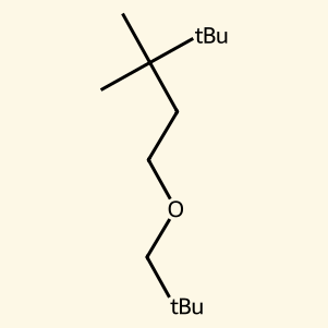 CC(C)(C)COCCC(C)(C)C(C)(C)C